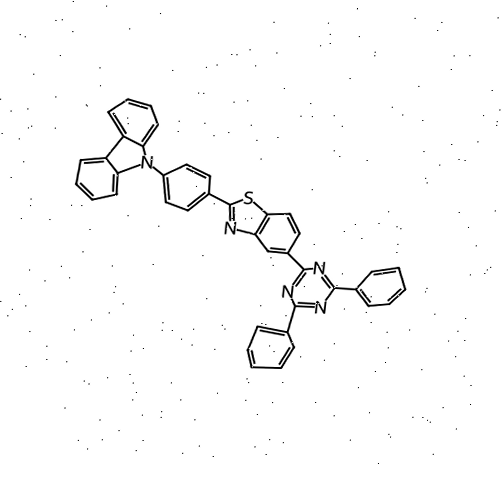 c1ccc(-c2nc(-c3ccccc3)nc(-c3ccc4sc(-c5ccc(-n6c7ccccc7c7ccccc76)cc5)nc4c3)n2)cc1